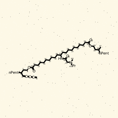 C=C=C=C=CC(CCCCC)CCOC(=O)CCCCCCCCCC(CCCCCCCCCC(=O)OCCC(C)CCCCC)NC(=O)CN(C)C(C)C